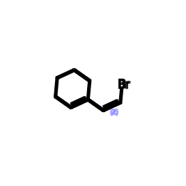 Br/C=C\C1=CCCCC1